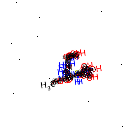 Cc1ccc(CCCC(=O)NCCCC[C@H](NC(=O)[C@H](CCCCNC(=S)Nc2ccc(CC3CN(CC(=O)O)CCN(CC(=O)O)CCN(CC(=O)O)CCN3CC(=O)O)cc2)NC(=O)Cn2nncc2-c2cccc(NC(=O)NCCCC[C@H](NC(=O)N[C@@H](CCC(=O)O)C(=O)O)C(=O)O)c2)C(=O)O)cc1